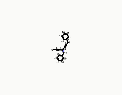 CC#C/C(C#CCc1ccccc1)=C\c1ccccc1